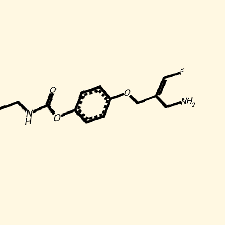 CCNC(=O)Oc1ccc(OCC(=CF)CN)cc1